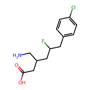 NCC(CC(=O)O)CC(F)Cc1ccc(Cl)cc1